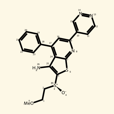 COCC[S@+]([O-])c1sc2nc(-c3ccnnc3)cc(-c3ccccc3)c2c1N